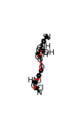 Cc1ncsc1-c1ccc([C@H](C)NC(=O)[C@@H]2C[C@@H](O)CN2C(=O)C(NC(=O)COCCCCOc2ccc(-c3ccc(C(=O)NC4C(C)(C)C(Oc5ccc(C#N)c(Cl)c5)C4(C)C)cc3)cc2)C(C)(C)C)cc1